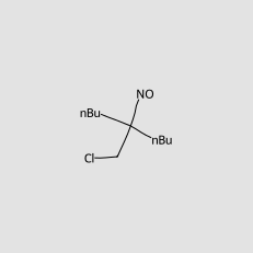 CCCCC(CCl)(CCCC)N=O